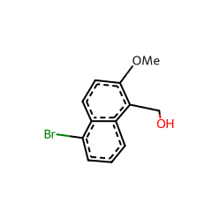 COc1ccc2c(Br)cccc2c1CO